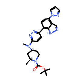 C[C@H]1C[C@@H](N(C)c2ccc(-c3ccc(-n4cccn4)c4cn[nH]c34)nn2)CCN1C(=O)OC(C)(C)C